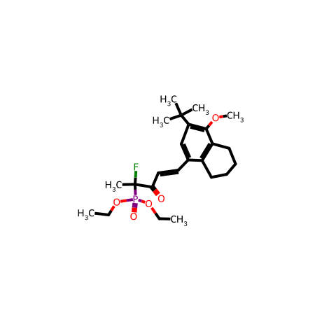 CCOP(=O)(OCC)C(C)(F)C(=O)C=Cc1cc(C(C)(C)C)c(OC)c2c1CCCC2